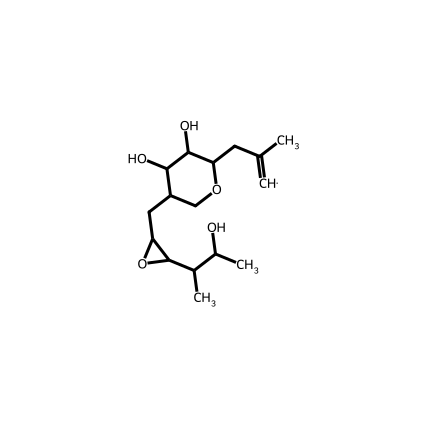 [CH]=C(C)CC1OCC(CC2OC2C(C)C(C)O)C(O)C1O